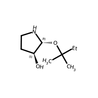 CCC(C)(C)O[C@H]1NCC[C@@H]1O